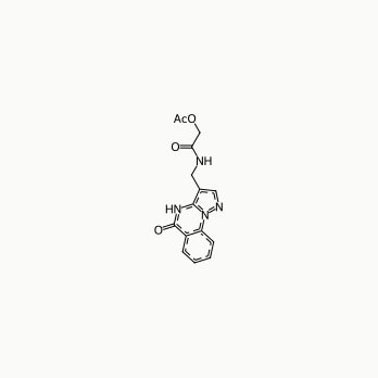 CC(=O)OCC(=O)NCc1cnn2c1[nH]c(=O)c1ccccc12